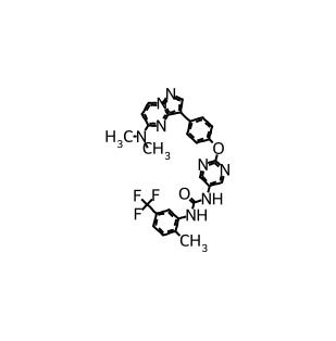 Cc1ccc(C(F)(F)F)cc1NC(=O)Nc1cnc(Oc2ccc(-c3cnn4ccc(N(C)C)nc34)cc2)nc1